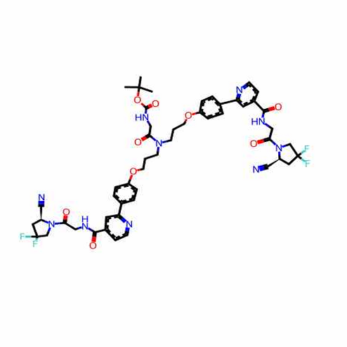 CC(C)(C)OC(=O)NCC(=O)N(CCCOc1ccc(-c2cc(C(=O)NCC(=O)N3CC(F)(F)C[C@H]3C#N)ccn2)cc1)CCCOc1ccc(-c2cc(C(=O)NCC(=O)N3CC(F)(F)C[C@H]3C#N)ccn2)cc1